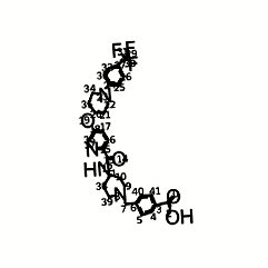 O=C(O)c1ccc(CN2CCC(NC(=O)c3ccc(OC4CCN(c5ccc(C(F)(F)F)cc5)CC4)cn3)CC2)cc1